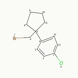 Clc1ccc(C2(CBr)CCCC2)cc1